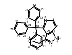 ClCc1n[nH]c2ccnc(C(c3ccccc3)(c3ccccc3)c3ccccc3)c12